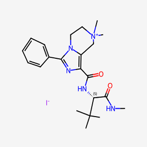 CNC(=O)[C@@H](NC(=O)c1nc(-c2ccccc2)n2c1C[N+](C)(C)CC2)C(C)(C)C.[I-]